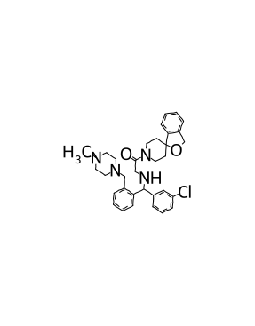 CN1CCN(Cc2ccccc2C(NCC(=O)N2CCC3(CC2)OCc2ccccc23)c2cccc(Cl)c2)CC1